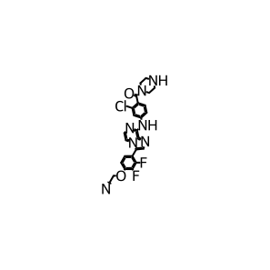 N#CCOc1ccc(-c2cnc3c(Nc4ccc(C(=O)N5CCNCC5)c(Cl)c4)nccn23)c(F)c1F